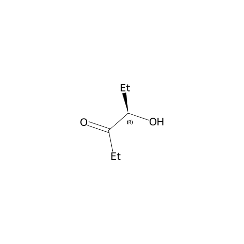 CCC(=O)[C@H](O)CC